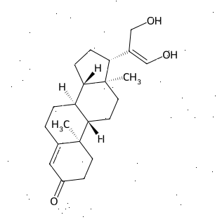 C[C@]12CC[C@H]3[C@@H](CCC4=CC(=O)CC[C@@]43C)[C@@H]1CC[C@@H]2C(=CO)CO